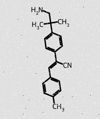 Cc1ccc(/C=C(\C#N)c2ccc(C(C)(C)CN)cc2)cc1